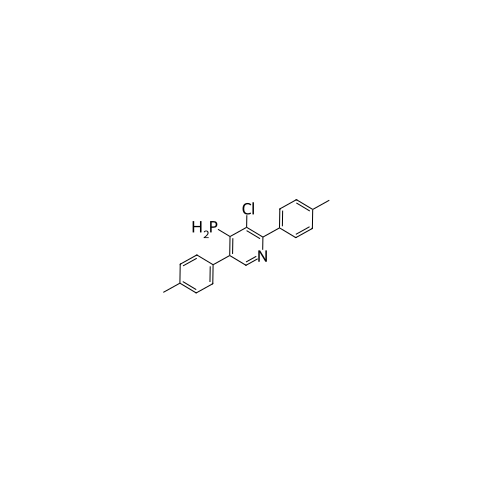 Cc1ccc(-c2cnc(-c3ccc(C)cc3)c(Cl)c2P)cc1